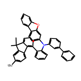 CC(C)(C)c1ccc2c(c1)C(C)(C)c1cccc(-c3ccccc3N(c3cccc(-c4ccccc4)c3)c3ccc4c(c3)oc3ccccc34)c1-2